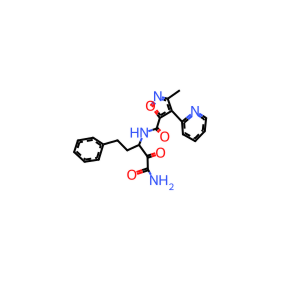 Cc1noc(C(=O)NC(CCc2ccccc2)C(=O)C(N)=O)c1-c1ccccn1